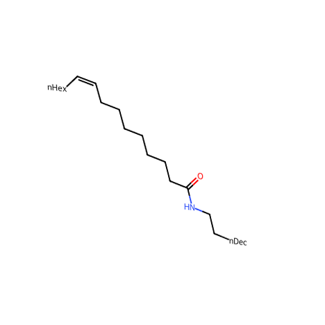 CCCCCC/C=C\CCCCCCCC(=O)NCCCCCCCCCCCC